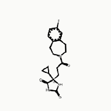 O=C1NC(=O)[C@](CCC(=O)N2CCc3ccc(F)cc3CC2)(C2CC2)N1